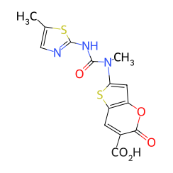 Cc1cnc(NC(=O)N(C)c2cc3oc(=O)c(C(=O)O)cc3s2)s1